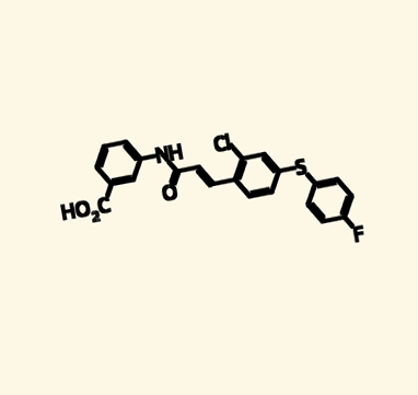 O=C(C=Cc1ccc(Sc2ccc(F)cc2)cc1Cl)Nc1cccc(C(=O)O)c1